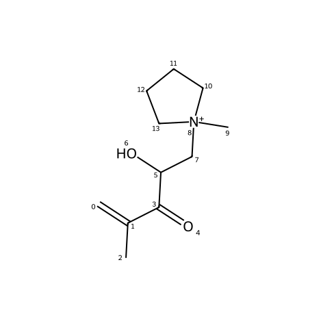 C=C(C)C(=O)C(O)C[N+]1(C)CCCC1